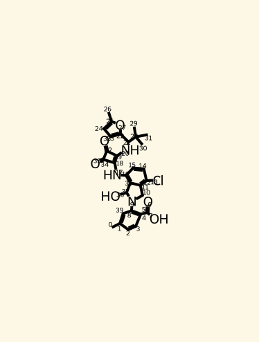 Cc1ccc(C(=O)O)c(N2Cc3c(Cl)ccc(Nc4c(N[C@@H](c5ccc(C)o5)C(C)(C)C)c(=O)c4=O)c3C2O)c1